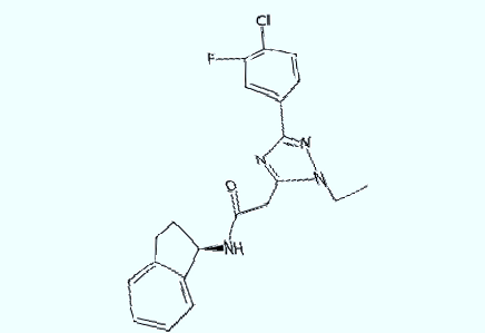 CCn1nc(-c2ccc(Cl)c(F)c2)nc1CC(=O)N[C@@H]1CCc2ccccc21